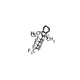 Cn1c(C(F)(F)C(F)(F)C(F)(F)C(F)(F)C(F)(F)F)[n+](C)c2ccccc21.[Cl-]